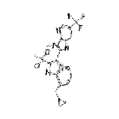 CCS(=O)(=O)c1nc2c(CC3CC3)cccn2c1-c1nc2cc(C(F)(F)F)cnc2n1C